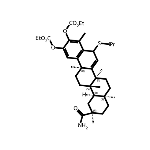 CCOC(=O)Oc1cc2c(c(C)c1OC(=O)OCC)C(SC(C)C)C=C1[C@@]2(C)CC[C@@]2(C)[C@@H]3C[C@](C)(C(N)=O)CC[C@]3(C)CC[C@]12C